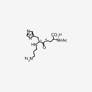 CC(=O)NC(CSC(=O)[C@H](Cc1cnc[nH]1)NCCCN)C(=O)O